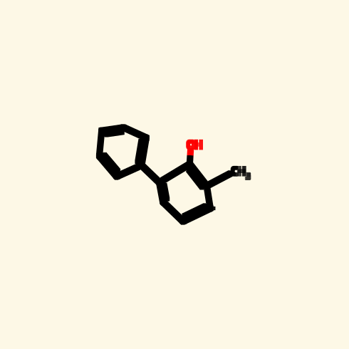 Cc1[c]ccc(-c2ccccc2)c1O